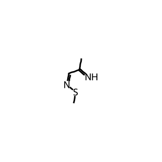 CS/N=C\C(C)=N